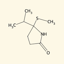 CSC1(C(C)C)CCC(=O)N1